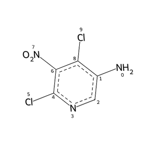 Nc1cnc(Cl)c([N+](=O)[O-])c1Cl